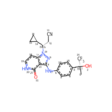 C[C@](O)(c1ccc(Nc2nn([C@@H](CC#N)C3CC3)c3cc[nH]c(=O)c23)cc1)C(F)(F)F